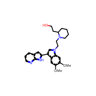 COc1cc2c(-c3cc4cccnc4[nH]3)cn(CCN3CCCCC3CCO)c2cc1OC